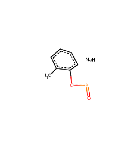 Cc1ccccc1OP=O.[NaH]